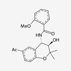 COc1ccccc1C(=O)N[C@H]1c2cc(C(C)=O)ccc2OC(C)(C)[C@@H]1O